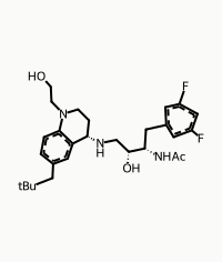 CC(=O)N[C@@H](Cc1cc(F)cc(F)c1)[C@H](O)CN[C@H]1CCN(CCO)c2ccc(CC(C)(C)C)cc21